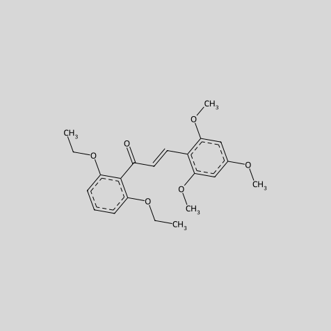 CCOc1cccc(OCC)c1C(=O)C=Cc1c(OC)cc(OC)cc1OC